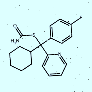 NC(=O)SC(c1ccc(F)cc1)(c1ccccn1)C1CCCCC1